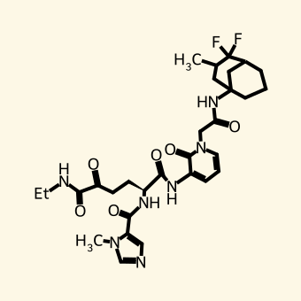 CCNC(=O)C(=O)CC[C@H](NC(=O)c1cncn1C)C(=O)Nc1cccn(CC(=O)NC23CCCC(C2)C(F)(F)C(C)C3)c1=O